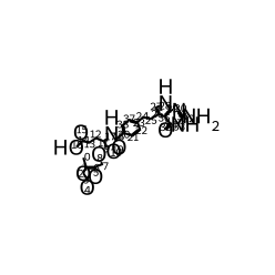 Cc1oc(=O)oc1COC(=O)C(CCC(=O)O)NC(=O)c1ccc(CCc2c[nH]c3nc(N)[nH]c(=O)c23)cc1